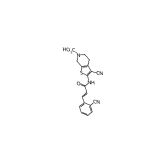 N#Cc1ccccc1C=CC(=O)Nc1sc2c(c1C#N)CCN(C(=O)O)C2